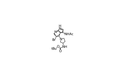 CC(=O)Nc1c[nH]c2ncc(Br)c(N3CCC(NC(=O)OC(C)(C)C)C3)c12